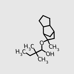 CCC(C)(C)C(O)OC1(C)CC2CC1C1CCCC21